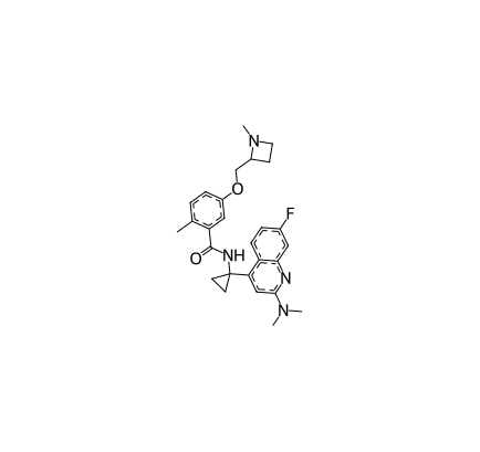 Cc1ccc(OCC2CCN2C)cc1C(=O)NC1(c2cc(N(C)C)nc3cc(F)ccc23)CC1